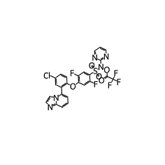 O=C(ON(c1ncccn1)S(=O)(=O)c1cc(F)c(Oc2ccc(Cl)cc2-c2cccc3nccn23)cc1F)C(F)(F)F